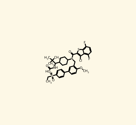 CCS(=O)(=O)c1ccc(-c2ccc(OC)c(CN(C(=O)c3sc4c(F)ccc(F)c4c3Cl)C3CCC(C(NC(=O)O)C(C)(C)C)CC3)c2)cc1